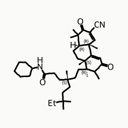 CCC(C)(C)CC[C@](C)(CCC(=O)NC1CCCCC1)CC[C@]1(C)C(C)C(=O)C=C2[C@@]3(C)C=C(C#N)C(=O)C(C)(C)[C@@H]3CC[C@]21C